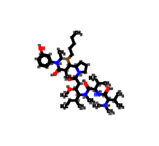 CCCCCSC(C(C)C(=O)N(CC)c1cccc(O)c1)C1CCCN1C(=O)CC(OC)C(C(C)CC)N(C)C(=O)C(NC(=O)C(C(C)C)N(C)C)C(C)C